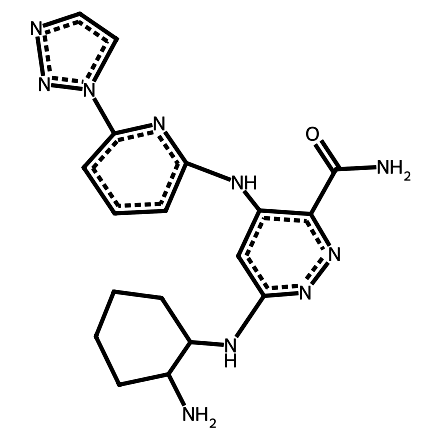 NC(=O)c1nnc(NC2CCCCC2N)cc1Nc1cccc(-n2ccnn2)n1